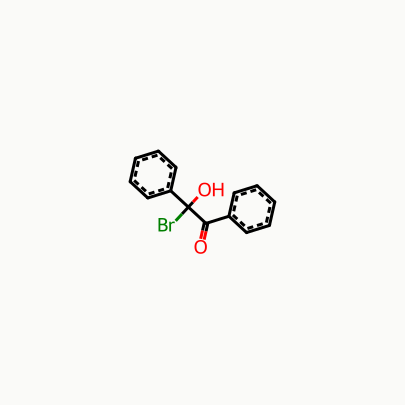 O=C(c1ccccc1)C(O)(Br)c1ccccc1